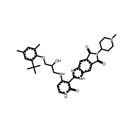 Cc1cc(C)c(OCC(O)CNc2cc[nH]c(=O)c2-c2nc3cc4c(cc3[nH]2)C(=O)N(C2CCN(C)CC2)C4=O)c(C(C)(C)C)c1